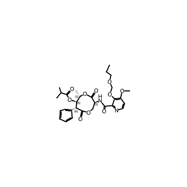 CCCOCOc1c(OC)ccnc1C(=O)N[C@H]1COC(=O)[C@H](c2ccccc2)[C@@H](OC(=O)C(C)C)[C@H](C)OC1=O